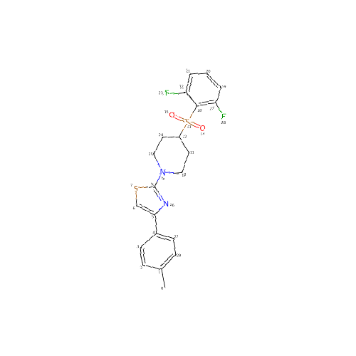 Cc1ccc(-c2csc(N3CCC(S(=O)(=O)c4c(F)cccc4F)CC3)n2)cc1